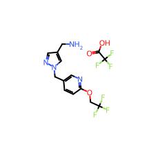 NCc1cnn(Cc2ccc(OCC(F)(F)F)nc2)c1.O=C(O)C(F)(F)F